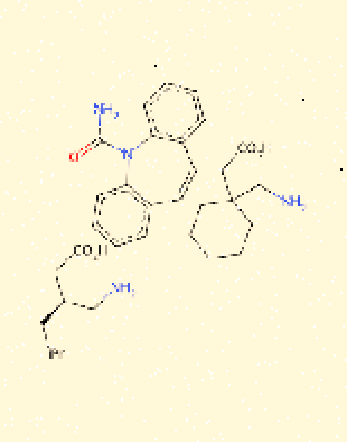 CC(C)C[C@H](CN)CC(=O)O.NC(=O)N1c2ccccc2C=Cc2ccccc21.NCC1(CC(=O)O)CCCCC1